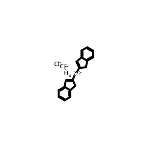 C.C1=[C]([Zr+2][C]2=Cc3ccccc3C2)Cc2ccccc21.[Cl-].[Cl-]